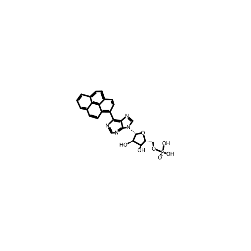 O=P(O)(O)OC[C@H]1O[C@@H](n2cnc3c(-c4ccc5ccc6cccc7ccc4c5c67)ncnc32)[C@H](O)[C@@H]1O